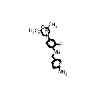 C[C@@H]1CN(c2ccc(NCc3ccc(N)cc3)c(F)c2)C[C@H](C)O1